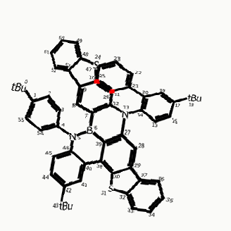 CC(C)(C)c1ccc(N2B3c4cc5c(cc4N(c4ccc(C(C)(C)C)cc4-c4ccccc4)c4cc6c(sc7ccccc76)c(c43)-c3cc(C(C)(C)C)ccc32)sc2ccccc25)cc1